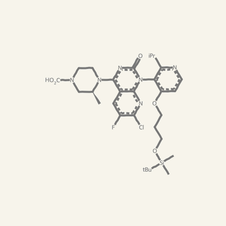 CC(C)c1nccc(OCCCO[Si](C)(C)C(C)(C)C)c1-n1c(=O)nc(N2CCN(C(=O)O)C[C@@H]2C)c2cc(F)c(Cl)nc21